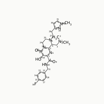 CN(C)CC1c2nc(C(=O)NCc3ccc(F)cc3)c(O)c(=O)n2CCN1CCc1ccn(C)n1